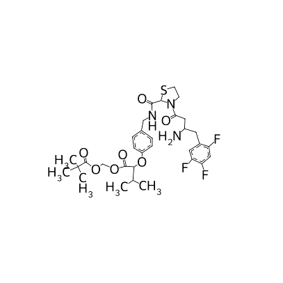 CC(C)C(Oc1ccc(CNC(=O)C2SCCN2C(=O)CC(N)Cc2cc(F)c(F)cc2F)cc1)C(=O)OCOC(=O)C(C)(C)C